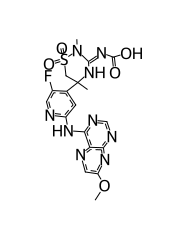 COc1cnc2c(Nc3cc(C4(C)CS(=O)(=O)N(C)C(=NC(=O)O)N4)c(F)cn3)ncnc2n1